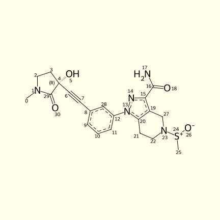 CN1CC[C@@](O)(C#Cc2cccc(-n3nc(C(N)=O)c4c3CCN([S+](C)[O-])C4)c2)C1=O